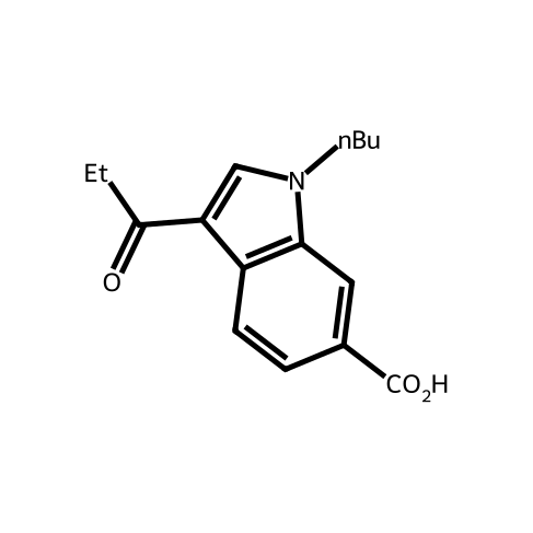 CCCCn1cc(C(=O)CC)c2ccc(C(=O)O)cc21